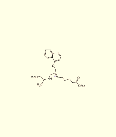 COCC(C)NC/C(=C/CCCCC(=O)OC)COc1cccc2ccccc12